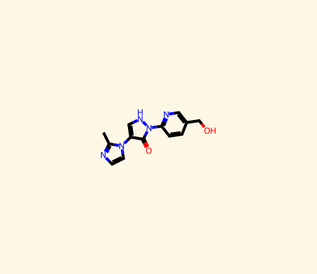 Cc1nccn1-c1c[nH]n(-c2ccc(CO)cn2)c1=O